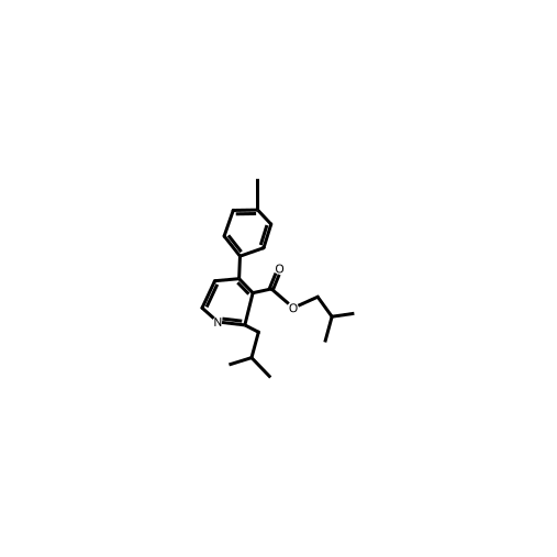 Cc1ccc(-c2ccnc(CC(C)C)c2C(=O)OCC(C)C)cc1